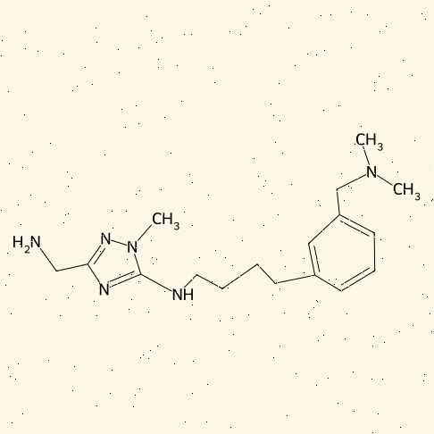 CN(C)Cc1cccc(CCCCNc2nc(CN)nn2C)c1